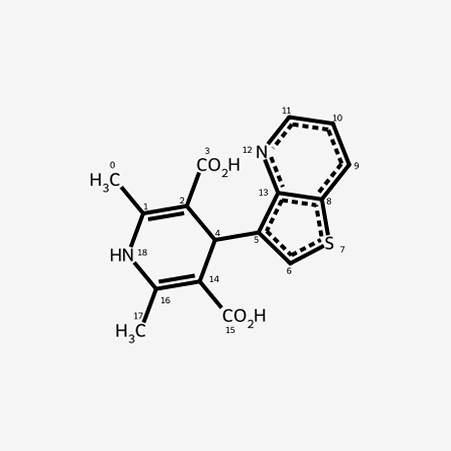 CC1=C(C(=O)O)C(c2csc3cccnc23)C(C(=O)O)=C(C)N1